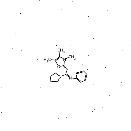 Cc1oc(=NC(=Nc2ccccc2)N2CCCC2)n(C)c1C